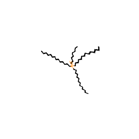 CCCCCCCCCCCCCC[PH](CCCCCCCC)(CCCCCCCCCCCCCC)CCCCCCCCCCCCCC